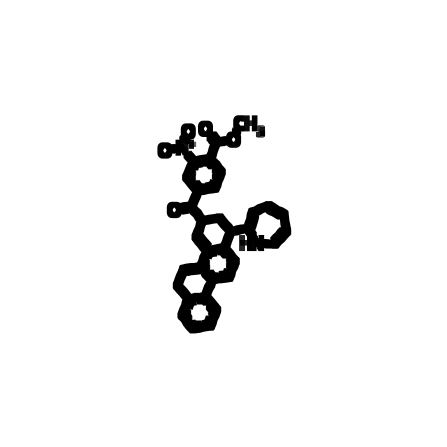 COC(=O)c1ccc(C(=O)C2C=c3c(ccc4c3=CCc3ccccc3-4)C(C3=CC=CC=CN3)C2)cc1[N+](=O)[O-]